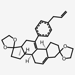 C=CCc1ccc(C2=C3[C@H]4CCC5(CC4=CC[C@H]3[C@@H]3CCC4(OCCO4)[C@@]3(C)C2)OCCO5)cc1